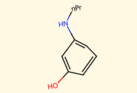 CCCNc1cccc(O)c1